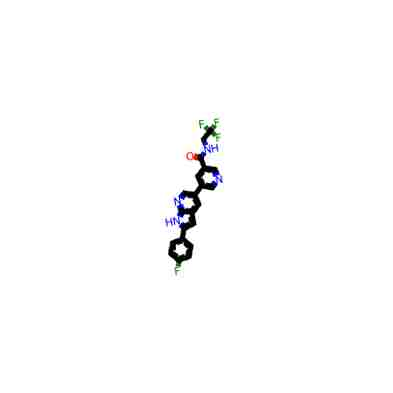 O=C(NCC(F)(F)F)c1cncc(-c2cnc3[nH]c(-c4ccc(F)cc4)cc3c2)c1